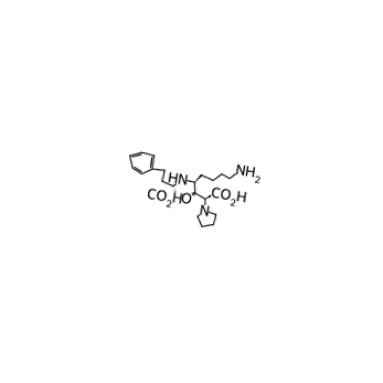 NCCCC[C@H](N[C@@H](CCc1ccccc1)C(=O)O)C(=O)[C@@H](C(=O)O)N1CCCC1